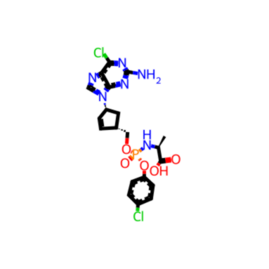 C[C@H](NP(=O)(OC[C@@H]1C=C[C@H](n2cnc3c(Cl)nc(N)nc32)C1)Oc1ccc(Cl)cc1)C(=O)O